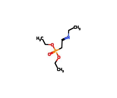 CC/N=C/CP(=O)(OCC)OCC